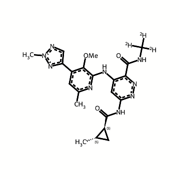 [2H]C([2H])([2H])NC(=O)c1nnc(NC(=O)[C@H]2C[C@@H]2C)cc1Nc1nc(C)cc(-c2cnn(C)n2)c1OC